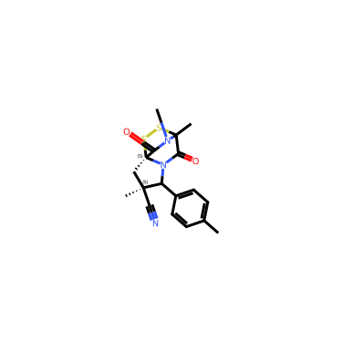 Cc1ccc(C2N3C(=O)C4(C)SS[C@@]3(C[C@]2(C)C#N)C(=O)N4C)cc1